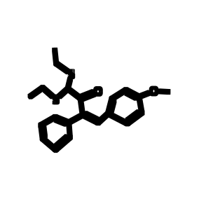 CCSC(SCC)C(=O)C(=Cc1ccc(OC)cc1)c1ccccc1